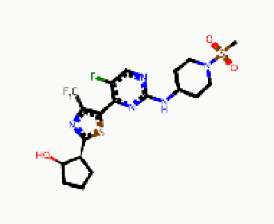 CS(=O)(=O)N1CCC(Nc2ncc(F)c(-c3sc([C@H]4CCC[C@H]4O)nc3C(F)(F)F)n2)CC1